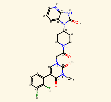 Cn1c(=O)c(-c2cccc(F)c2F)cn(CC(=O)N2CCC(n3c(=O)[nH]c4ncccc43)CC2)c1=O